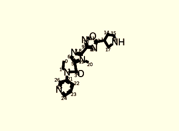 CCN(C(=O)c1cnc(-c2noc(C3CCNC3)n2)n1C)c1cccnc1